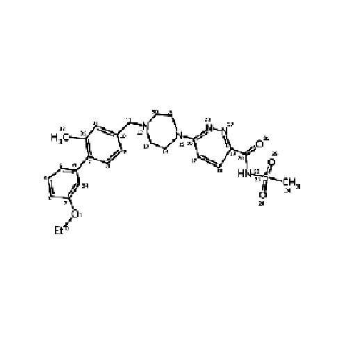 CCOc1cccc(-c2ccc(CN3CCN(c4ccc(C(=O)NS(C)(=O)=O)nn4)CC3)cc2C)c1